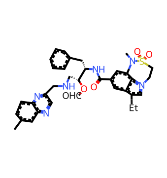 CCc1cn2c3c(cc(C(=O)N[C@@H](Cc4ccccc4)[C@@H](CNCc4cnc5cc(C)ccc5n4)OC=O)cc13)N(C)S(=O)(=O)CC2